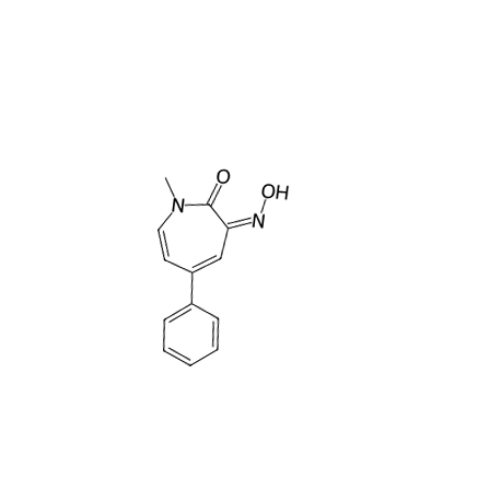 Cn1ccc(-c2ccccc2)c/c(=N/O)c1=O